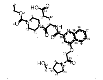 CCOC(=O)N1CCN(C(=O)[C@H](CCC(=O)O)NC(=O)c2cc(OCC(=O)N3CC[C@H](CO)C3)c3ccccc3n2)CC1